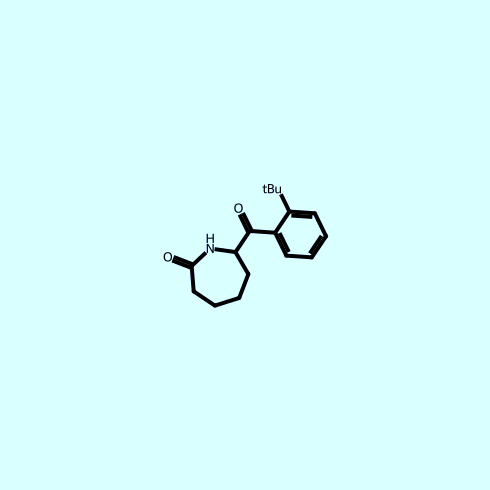 CC(C)(C)c1ccccc1C(=O)C1CCCCC(=O)N1